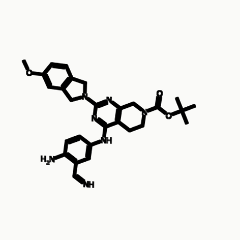 COc1ccc2c(c1)CN(c1nc3c(c(Nc4ccc(N)c(C=N)c4)n1)CCN(C(=O)OC(C)(C)C)C3)C2